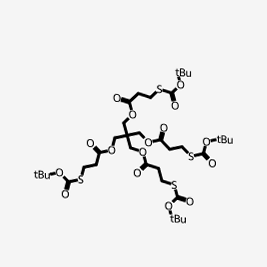 CC(C)(C)OC(=O)SCCC(=O)OCC(COC(=O)CCSC(=O)OC(C)(C)C)(COC(=O)CCSC(=O)OC(C)(C)C)COC(=O)CCSC(=O)OC(C)(C)C